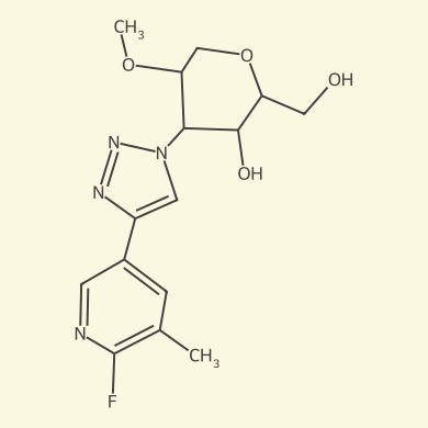 COC1COC(CO)C(O)C1n1cc(-c2cnc(F)c(C)c2)nn1